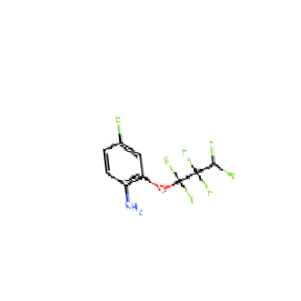 Nc1ccc(F)cc1OC(F)(F)C(F)(F)C(F)F